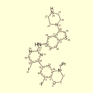 CC(C)N1CCOc2c(F)cc(-c3nc(Nc4ccc5scc(N6CCNCC6)c5c4)ncc3F)cc21